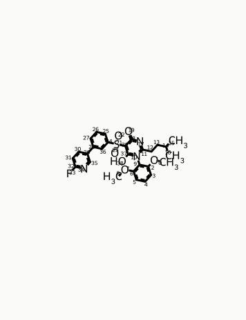 COc1cccc(OC)c1-n1c(CCC(C)C)nc(=O)c(S(=O)(=O)c2cccc(-c3ccc(F)nc3)c2)c1O